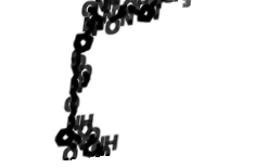 NC(=O)c1nn(-c2ccc(COCC3CN(CCOCCNc4cccc5c4C(=O)N(C4CCC(=O)NC4=O)C5=O)CCO3)cc2)cc1NC(=O)c1coc(-c2ccnc(NCC(F)(F)F)c2)n1